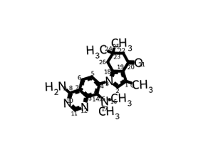 Cc1cn(-c2ccc3c(N)ncnc3c2N(C)C)c2c1C(=O)CC(C)(C)C2